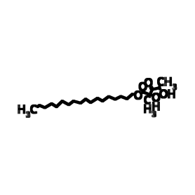 CCCCCCCCCCCCCCCCCCOC(=O)C(C)(O)C(=O)C(C)O